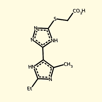 CCc1nc(C)c(-c2nnc(SCC(=O)O)[nH]2)[nH]1